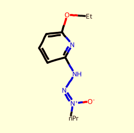 CCC[N+]([O-])=NNc1cccc(OCC)n1